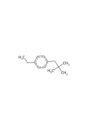 C[CH]c1ccc(CC(C)(C)C)cc1